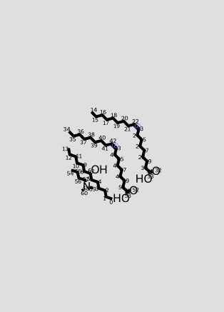 CCCCCCC(O)CCCCCC.CCCCCCCC/C=C\CCCCCCCC(=O)O.CCCCCCCC/C=C\CCCCCCCC(=O)O.CCCCN(C)C